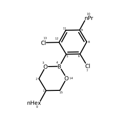 CCCCCCC1COB(c2c(Cl)cc(CCC)cc2Cl)OC1